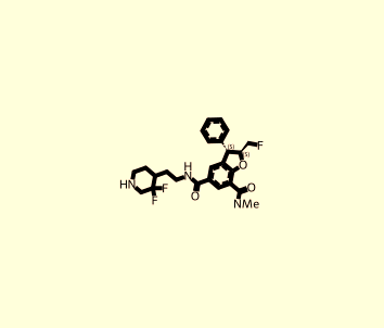 CNC(=O)c1cc(C(=O)NCCC2CCNCC2(F)F)cc2c1O[C@H](CF)[C@H]2c1ccccc1